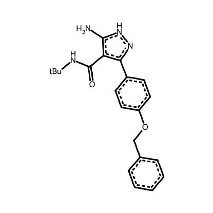 CC(C)(C)NC(=O)c1c(-c2ccc(OCc3ccccc3)cc2)n[nH]c1N